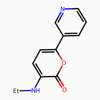 CCNc1ccc(-c2cccnc2)oc1=O